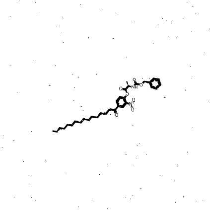 CCCCCCCCCCCCCCCC(=O)c1ccc(OC(=O)[C@@H](C)NC(=O)OCc2ccccc2)c([N+](=O)[O-])c1